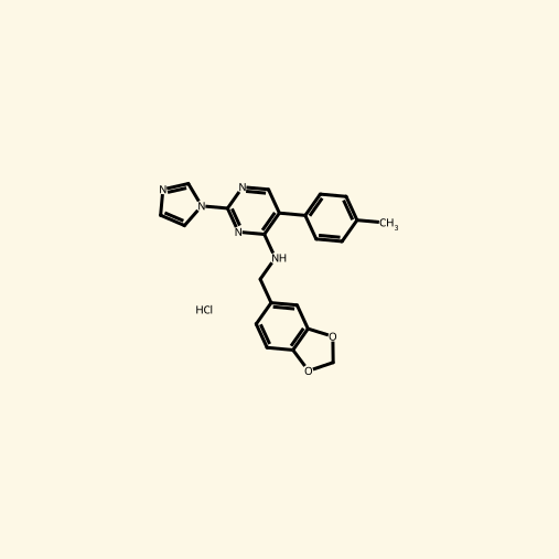 Cc1ccc(-c2cnc(-n3ccnc3)nc2NCc2ccc3c(c2)OCO3)cc1.Cl